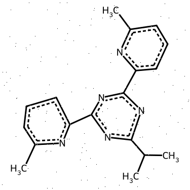 Cc1cccc(-c2nc(-c3cccc(C)n3)nc(C(C)C)n2)n1